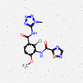 Cn1nnnc1NC(=O)c1ccc(OC(F)(F)F)c(NC(=O)c2ncns2)c1Cl